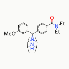 CCN(CC)C(=O)c1ccc(C(c2cccc(OC)c2)N2C3CCC2C2CCC3N2)cc1